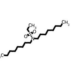 CCCCCCCCN(CCCCCCCC)S(=O)(=O)CC